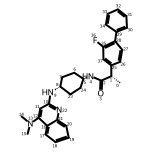 C[C@H](C(=O)N[C@H]1CC[C@@H](Nc2cc(N(C)C)c3ccccc3n2)CC1)c1ccc(-c2ccccc2)c(F)c1